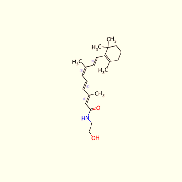 CC1=C(/C=C/C(C)=C\C=C\C(C)=C\C(=O)NCCO)C(C)(C)CCC1